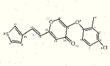 Cc1cc(Cl)ccc1Oc1coc(/C=C/c2ccsc2)cc1=O